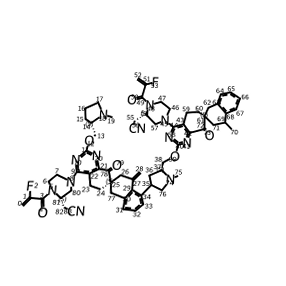 C=C(F)C(=O)N1CCN(c2nc(OC[C@@H]3CCCN3C)nc3c2CC[C@@]2(CC(=C)c4c(cccc4C4C[C@@H](COc5nc6c(c(N7CCN(C(=O)C(=C)F)[C@@H](CC#N)C7)n5)CC[C@]5(Cc7ccccc7C(C)C5)C6=O)N(C)C4)C2)C3=O)C[C@@H]1CC#N